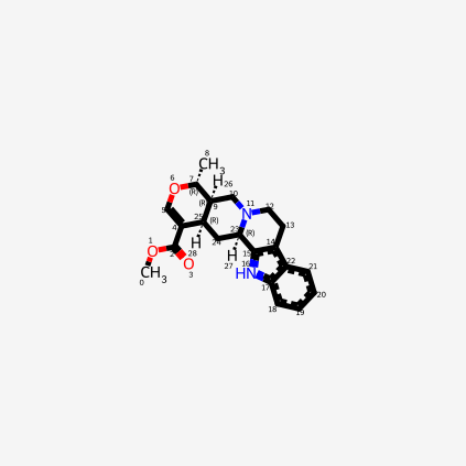 COC(=O)C1=CO[C@H](C)[C@H]2CN3CCc4c([nH]c5ccccc45)[C@H]3C[C@@H]12